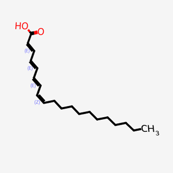 CCCCCCCCCCC\C=C/C=C/C=C/C=C/C(=O)O